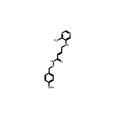 COc1ccc(CONC(=O)/C=C/CNc2cncnc2N)cc1